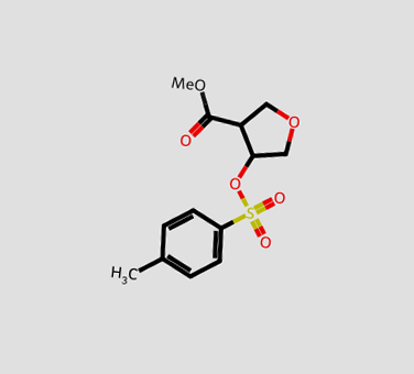 COC(=O)C1COCC1OS(=O)(=O)c1ccc(C)cc1